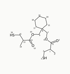 CC(CS)C(=O)OCC1(COC(=O)C(C)CS)CCCCC1